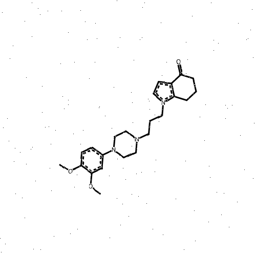 COc1ccc(N2CCN(CCCn3ccc4c3CCCC4=O)CC2)cc1OC